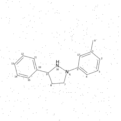 Cc1cccc(N2CCC(c3ccccc3)N2)c1